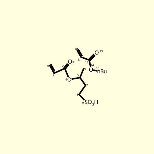 C=CC(=O)OC(C)CCS(=O)(=O)O.C=CC(=O)OCCCC